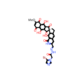 COC1=CC(=O)c2c(O)c3c(c(O)c2C1=O)C(=O)[C@]1(CCc2cc4cc(C=NNC(=O)Cn5cncc5Br)[nH]c(=O)c4c(O)c21)C3=O